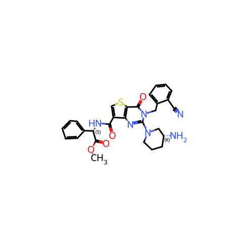 COC(=O)[C@@H](NC(=O)c1csc2c(=O)n(Cc3ccccc3C#N)c(N3CCC[C@@H](N)C3)nc12)c1ccccc1